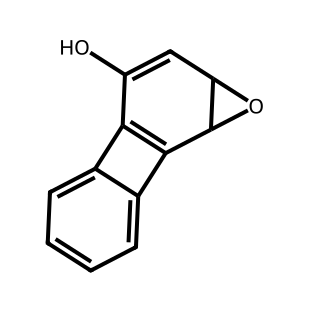 OC1=CC2OC2C2=C1c1ccccc12